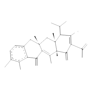 CC(=O)C1=C(O)C(C(C)C)[C@@]2(C)C[C@@]3(C)Cc4ccc(C)c(O)c4C(=O)C3=C(O)[C@@]2(O)C1=O